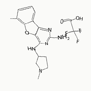 Cc1cccc2c1oc1c(NC3CCN(C)C3)nc(N)nc12.O=C(O)C(F)(F)F